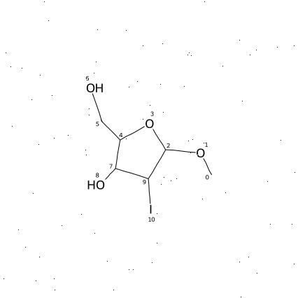 COC1OC(CO)C(O)C1I